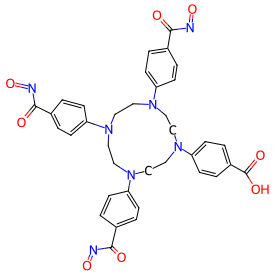 O=NC(=O)c1ccc(N2CCN(c3ccc(C(=O)O)cc3)CCN(c3ccc(C(=O)N=O)cc3)CCN(c3ccc(C(=O)N=O)cc3)CC2)cc1